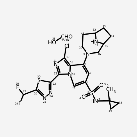 CC1(NS(=O)(=O)c2cc(N3CCC4CCC(C3)N4)c3c(Cl)nc(-c4nnc(C(F)F)s4)n3c2)CC1.O=CO